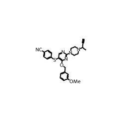 C#CC(C)N1CCN(c2ncc(Sc3ccc(C#N)cc3)c(OCc3cccc(OC)c3)n2)CC1